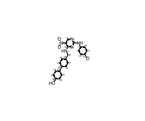 O=[N+]([O-])c1cnc(Nc2ccc(Cl)cc2)nc1NCc1ccc(-c2ccc(O)cc2)cc1